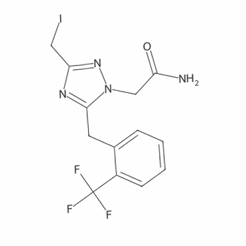 NC(=O)Cn1nc(CI)nc1Cc1ccccc1C(F)(F)F